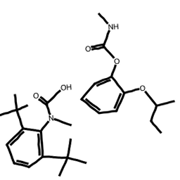 CCC(C)Oc1ccccc1OC(=O)NC.CN(C(=O)O)c1c(C(C)(C)C)cccc1C(C)(C)C